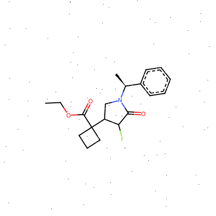 CCOC(=O)C1(C2CN([C@@H](C)c3ccccc3)C(=O)C2F)CCC1